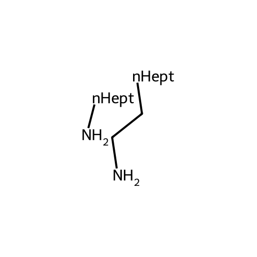 CCCCCCCCCN.CCCCCCCN